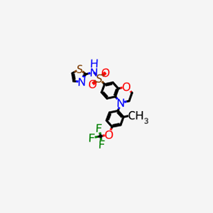 Cc1cc(OC(F)(F)F)ccc1N1CCOc2cc(S(=O)(=O)Nc3nccs3)ccc21